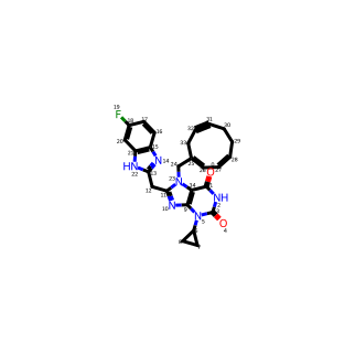 O=c1[nH]c(=O)n(C2CC2)c2nc(Cc3nc4ccc(F)cc4[nH]3)n(C/C3=C/C=C\CCC#CC3)c12